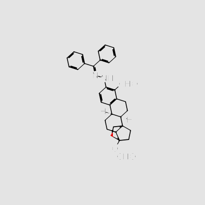 C[C@]12CC[C@@H]3c4ccc(NN=C(c5ccccc5)c5ccccc5)c(C=O)c4CC[C@H]3C13CCC2(OC=O)CC3